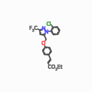 CCOC(=O)C=Cc1ccc(OCc2cc(C(F)(F)F)nn2-c2ccccc2Cl)cc1